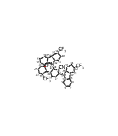 N#Cc1c(-n2c3ccccc3c3cc(C(F)(F)F)ccc32)ccc(-c2c(C(F)(F)F)cccc2C(F)(F)F)c1-n1c2ccccc2c2cc(C(F)(F)F)ccc21